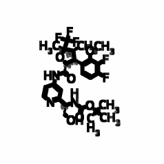 COc1c([C@H]2[C@H](C(=O)Nc3ccnc([C@@H](CO)NC(=O)OC(C)(C)C)c3)O[C@@](C)(C(F)(F)F)[C@H]2C)ccc(F)c1F